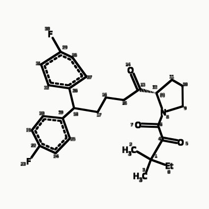 CCC(C)(C)C(=O)C(=O)N1CCC[C@H]1C(=O)CCCC(c1ccc(F)cc1)c1ccc(F)cc1